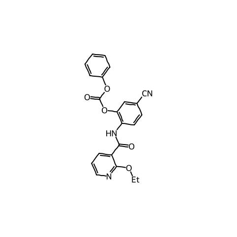 CCOc1ncccc1C(=O)Nc1ccc(C#N)cc1OC(=O)Oc1ccccc1